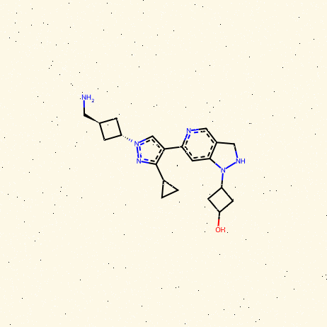 NC[C@H]1C[C@H](n2cc(-c3cc4c(cn3)CNN4C3CC(O)C3)c(C3CC3)n2)C1